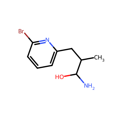 CC(Cc1cccc(Br)n1)C(N)O